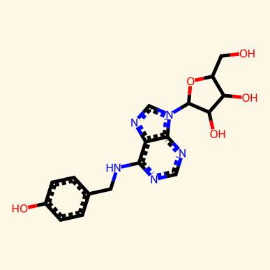 OCC1OC(n2cnc3c(NCc4ccc(O)cc4)ncnc32)C(O)C1O